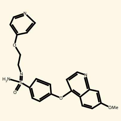 COc1ccc2c(Oc3ccc(S(N)(=O)=NCCOc4ccncc4)cc3)ccnc2c1